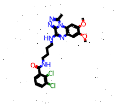 COc1cc2nc(NCCCCNC(=O)c3cccc(Cl)c3Cl)c3nnc(C)n3c2cc1OC